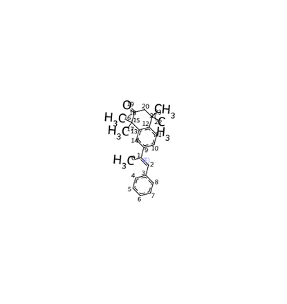 C/C(=C\c1ccccc1)c1ccc2c(c1)C(C)(C)C(=O)CC2(C)C